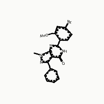 COc1cc(Br)ccc1-c1nc2c(c(-c3ccccc3)nn2C)c(=O)[nH]1